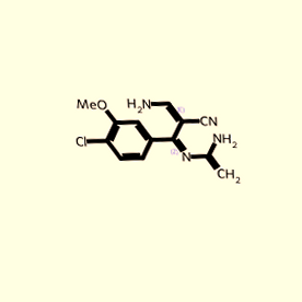 C=C(N)/N=C(\C(C#N)=C/N)c1ccc(Cl)c(OC)c1